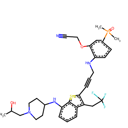 CC(O)CN1CCC(Nc2cccc3c(CC(F)(F)F)c(C#CCNc4ccc(P(C)(C)=O)cc4OCC#N)sc23)CC1